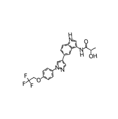 CC(O)C(=O)Nc1c[nH]c2ccc(-c3cnn(-c4ccc(OCC(F)(F)F)cc4)c3)cc12